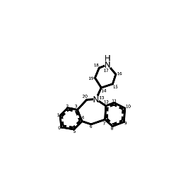 c1ccc2c(c1)Cc1ccccc1N(C1CCNCC1)C2